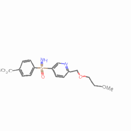 COCCOCc1ccc(S(=N)(=O)c2ccc(C(=O)O)cc2)cn1